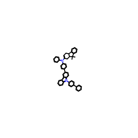 CC1(C)c2ccccc2C2CC=C(N(c3ccccc3)c3ccc(-c4ccc5c(c4)c4ccccc4n5-c4ccc(-c5ccccc5)cc4)cc3)CC21